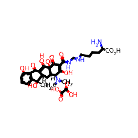 CN(C)[C@@H]1C(O)=C(C(=O)NCNCCCCC(N)C(=O)O)C(=O)[C@@]2(O)C(O)=C3C(=O)c4c(O)cccc4[C@@](C)(O)[C@H]3C[C@@H]12.O=C(O)C(=O)O